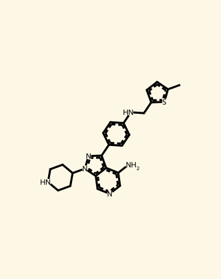 Cc1ccc(CNc2ccc(-c3nn(C4CCNCC4)c4cncc(N)c34)cc2)s1